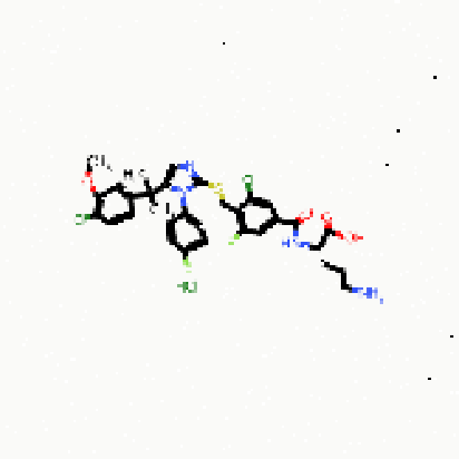 COc1cc(C(C)(C)c2cnc(SCc3c(F)cc(C(=O)N[C@@H](CCCN)C(=O)O)cc3Cl)n2-c2ccc(F)cc2)ccc1Cl.Cl